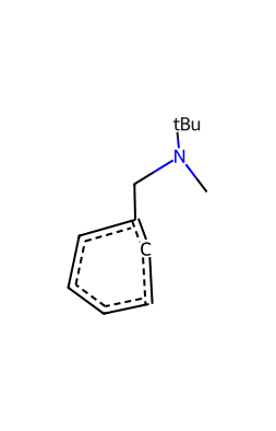 CN(Cc1ccccc1)C(C)(C)C